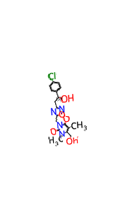 Cc1c(CO)n(C)c(=O)n(Cc2nc(C[C@H](O)c3ccc(Cl)cc3)no2)c1=O